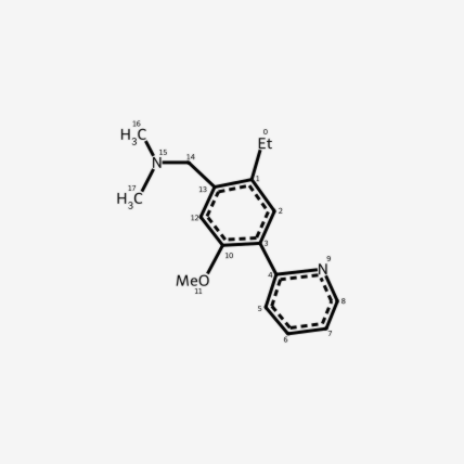 CCc1cc(-c2ccccn2)c(OC)cc1CN(C)C